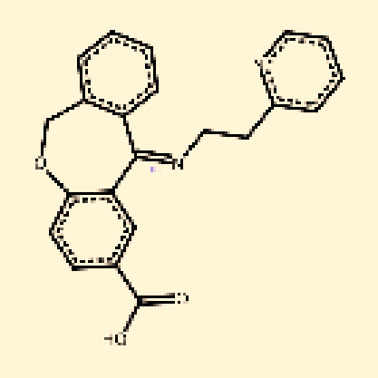 O=C(O)c1ccc2c(c1)/C(=N/CCc1ccccn1)c1ccccc1CO2